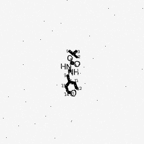 CC(C)(C)OC(=O)NNCC1CCOCC1